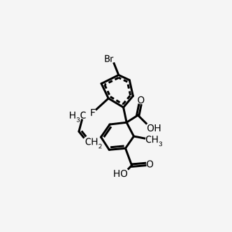 C=CC.CC1C(C(=O)O)=CC=CC1(C(=O)O)c1ccc(Br)cc1F